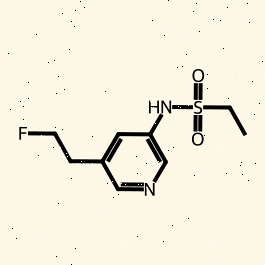 CCS(=O)(=O)Nc1cncc(CCF)c1